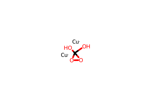 OC1(O)OO1.[Cu].[Cu]